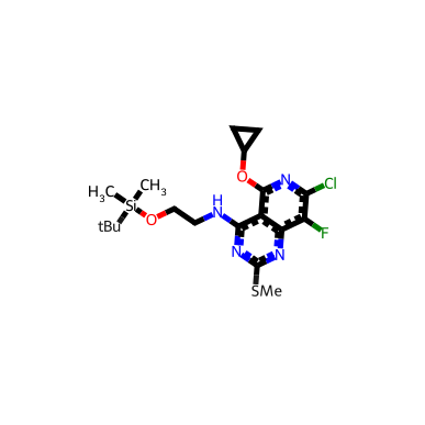 CSc1nc(NCCO[Si](C)(C)C(C)(C)C)c2c(OC3CC3)nc(Cl)c(F)c2n1